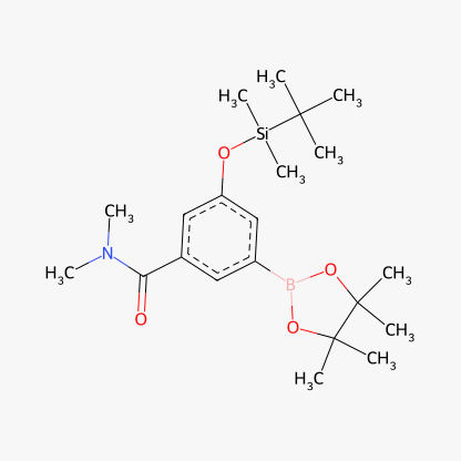 CN(C)C(=O)c1cc(O[Si](C)(C)C(C)(C)C)cc(B2OC(C)(C)C(C)(C)O2)c1